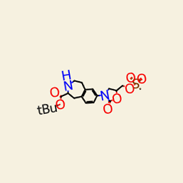 CC(C)(C)OC(=O)C1Cc2ccc(N3CC(COS(C)(=O)=O)OC3=O)cc2CCN1